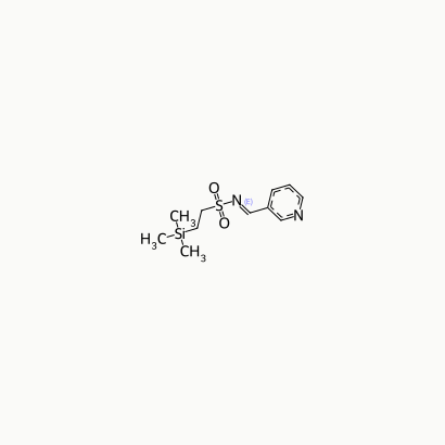 C[Si](C)(C)CCS(=O)(=O)/N=C/c1cccnc1